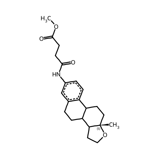 COC(=O)CCC(=O)Nc1ccc2c(c1)CCC1C2CC[C@]2(C)OCCC12